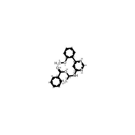 COc1ccccc1-c1cc(NC(C)OC(=O)c2ccccc2)ncn1